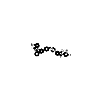 O=C1CCC(N2C(=O)c3ccc(N4CCN(CC5CCC(c6ccc7c(c6)-n6c(nc(=O)c8c(Br)cccc86)C76CCCCC6)CC5)CC4)cc3C2=O)C(=O)N1